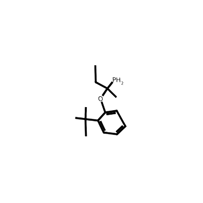 CCC(C)(P)Oc1ccccc1C(C)(C)C